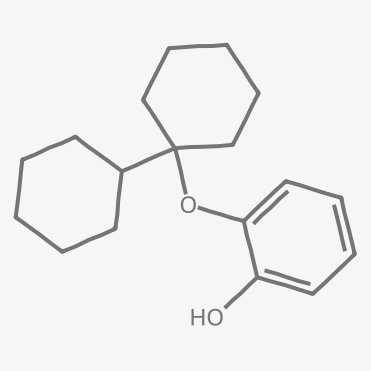 Oc1ccccc1OC1(C2CCCCC2)CCCCC1